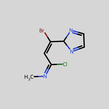 C/N=C(Cl)\C=C(\Br)C1N=CC=N1